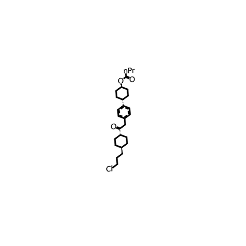 CCCC(=O)O[C@H]1CC[C@H](c2ccc(CC(=O)[C@H]3CC[C@H](CCCCl)CC3)cc2)CC1